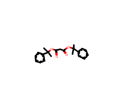 CC(C)(OC(=O)CC(=O)OC(C)(C)c1ccccc1)c1ccccc1